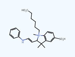 CC1(C)c2cc(S(=O)(=O)O)ccc2[N+](C)(CCCCCC(=O)O)C1/C=C/Nc1ccccc1